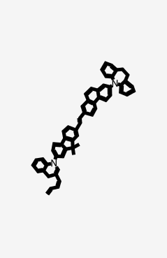 C=C/C=C\C1=CN(c2ccc3c(c2)C(C)(C)c2cc(/C=C/c4ccc5c(ccc6cc(N7c8ccccc8CCc8ccccc87)ccc65)c4)ccc2-3)c2ccccc2C1